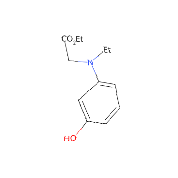 CCOC(=O)CN(CC)c1cccc(O)c1